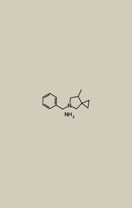 CC1CN(Cc2ccccc2)CC12CC2.N